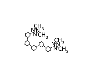 Cc1nc(C)nc(-c2cccc(-c3cccc(-c4cccc(-c5cccc(-c6cccc(-c7nc(C)nc(C)n7)c6)c5)c4)c3)c2)n1